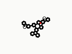 c1ccc2c(c1)-c1ccc(-c3ccc4oc5ccccc5c4c3)cc1-c1cc3c4ccccc4c4ccccc4c3cc1-c1cccc(-c3ccc4oc5ccccc5c4c3)c1-2